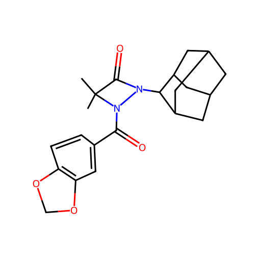 CC1(C)C(=O)N(C2C3CC4CC(C3)CC2C4)N1C(=O)c1ccc2c(c1)OCO2